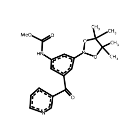 COC(=O)Nc1cc(B2OC(C)(C)C(C)(C)O2)cc(C(=O)c2cccnc2)c1